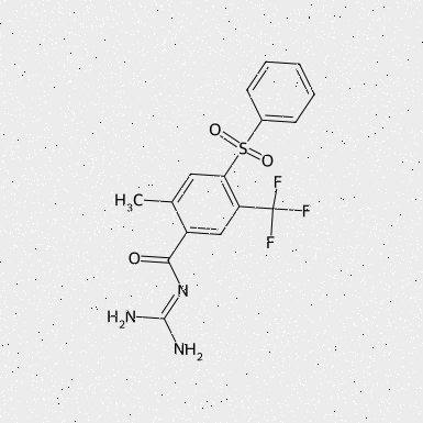 Cc1cc(S(=O)(=O)c2ccccc2)c(C(F)(F)F)cc1C(=O)N=C(N)N